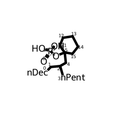 CCCCCCCCCCCC(CCCCC)CC1(OP(=O)(O)O)CCCCC1